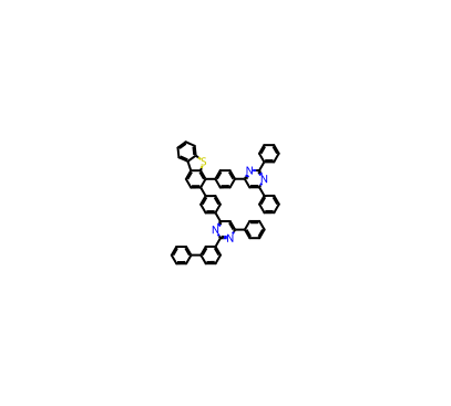 c1ccc(-c2cccc(-c3nc(-c4ccccc4)cc(-c4ccc(-c5ccc6c(sc7ccccc76)c5-c5ccc(-c6cc(-c7ccccc7)nc(-c7ccccc7)n6)cc5)cc4)n3)c2)cc1